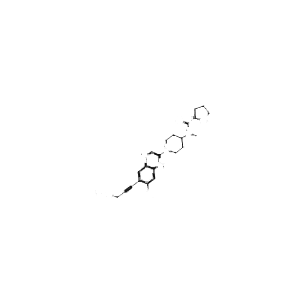 CN(C(=O)[C@H]1CCCO1)C1CCN(c2cnc3cc(C#CCO)c(Cl)cc3n2)CC1